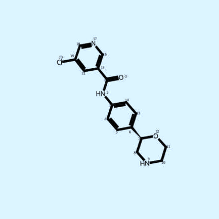 O=C(Nc1ccc([C@@H]2CNCCO2)cc1)c1cncc(Cl)c1